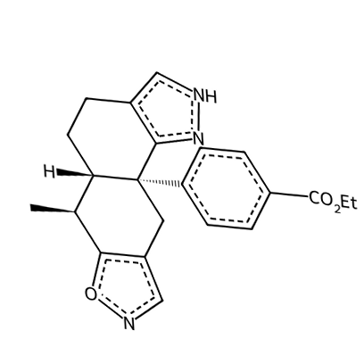 CCOC(=O)c1ccc([C@]23Cc4cnoc4[C@@H](C)[C@@H]2CCc2c[nH]nc23)cc1